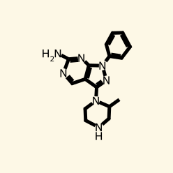 CC1CNCCN1c1nn(-c2ccccc2)c2nc(N)ncc12